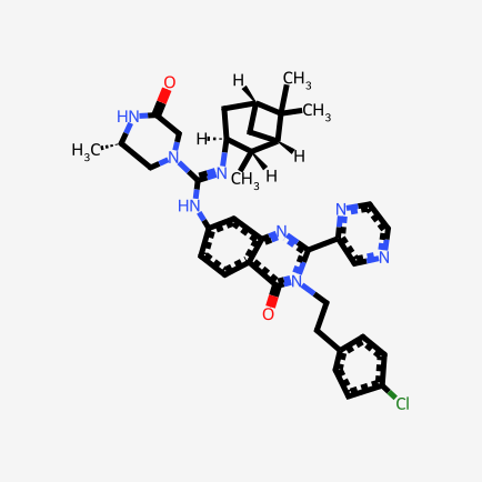 C[C@@H]1[C@@H](N=C(Nc2ccc3c(=O)n(CCc4ccc(Cl)cc4)c(-c4cnccn4)nc3c2)N2CC(=O)N[C@@H](C)C2)C[C@H]2C[C@@H]1C2(C)C